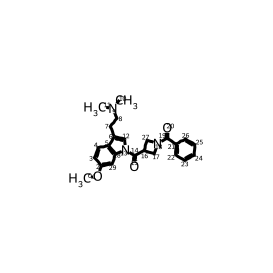 COc1ccc2c(CCN(C)C)cn(C(=O)C3CN(C(=O)c4ccccc4)C3)c2c1